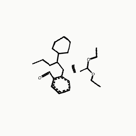 C=C.CCCC(Cc1ccccc1C=O)C1CCCCC1.CCOC(C)OCC